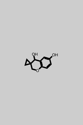 Oc1ccc2c(c1)C(O)C1(CC1)CO2